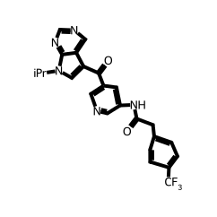 CC(C)n1cc(C(=O)c2cncc(NC(=O)Cc3ccc(C(F)(F)F)cc3)c2)c2cncnc21